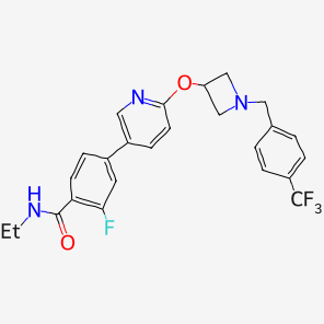 CCNC(=O)c1ccc(-c2ccc(OC3CN(Cc4ccc(C(F)(F)F)cc4)C3)nc2)cc1F